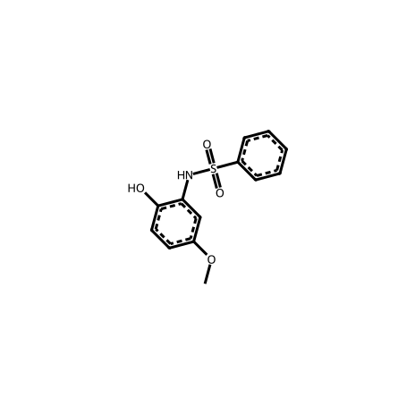 COc1ccc(O)c(NS(=O)(=O)c2ccccc2)c1